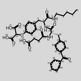 CCCCCNC(=O)[C@H](Cc1ccc(OC(C(=O)O)C(=O)O)cc1)NC(=O)[C@H](Cc1ccc(C(=O)c2ccccc2)cc1)NC(=O)CCC(=O)O